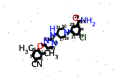 Cc1cc(C#N)cc(C)c1Oc1ccnc(NC2CCN(c3cc(Cl)cc(C(N)=O)c3)CC2)n1